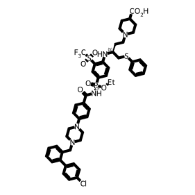 CCO[P@](=O)(NC(=O)c1ccc(N2CCN(Cc3ccccc3-c3ccc(Cl)cc3)CC2)cc1)c1ccc(N[C@@H](CCN2CCC(C(=O)O)CC2)CSc2ccccc2)c(S(=O)(=O)C(F)(F)F)c1